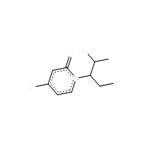 CCC(C(C)O)n1ccc(Br)cc1=O